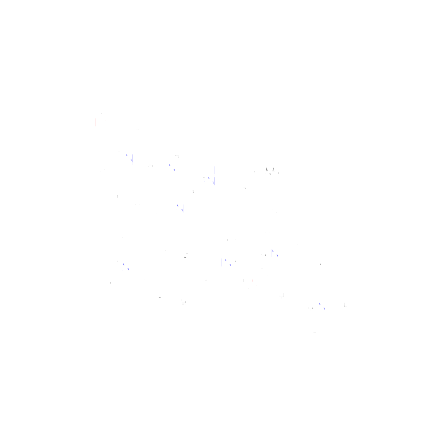 C=CC(=O)Nc1cc(Nc2nc(-c3cn(C)c4ccccc34)c3ccn(CO)c3n2)c(OC)cc1N1CCC(N(C)C)CC1